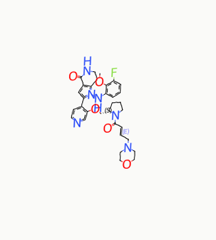 COc1c(F)cccc1Nn1c(-c2ccncc2OC[C@@H]2CCCN2C(=O)/C=C/CN2CCOCC2)cc2c1CCNC2=O